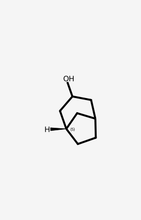 OC1CC2CC[C@H](C1)C2